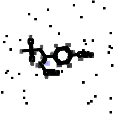 CO/N=C(/CS(C)(=O)=O)c1ccc(OC)cc1